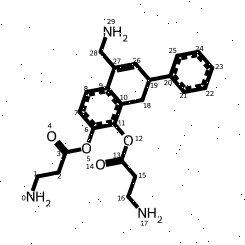 NCCC(=O)Oc1ccc2c(c1OC(=O)CCN)CC(c1ccccc1)C=C2CN